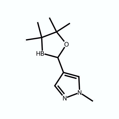 Cn1cc(C2BC(C)(C)C(C)(C)O2)cn1